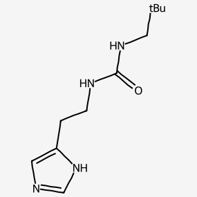 CC(C)(C)CNC(=O)NCCc1cnc[nH]1